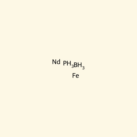 B.P.[Fe].[Nd]